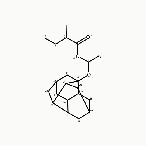 CCC(C)C(=O)OC(C)OC12CC3CC4C5CC(CC41)CC2C5C3